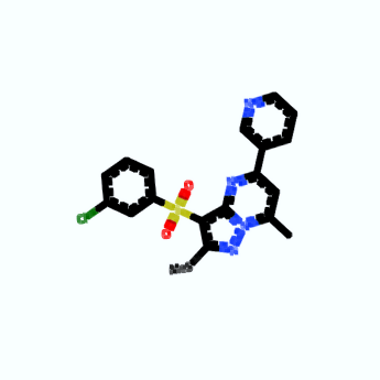 CSc1nn2c(C)cc(-c3cccnc3)nc2c1S(=O)(=O)c1cccc(Cl)c1